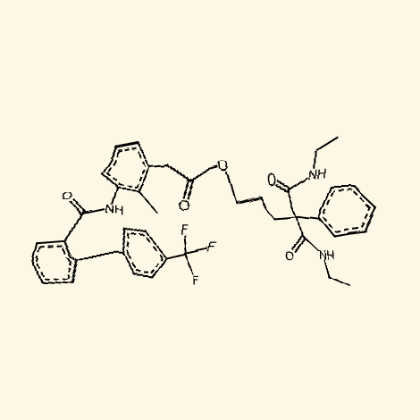 CCNC(=O)C(CCCOC(=O)Cc1cccc(NC(=O)c2ccccc2-c2ccc(C(F)(F)F)cc2)c1C)(C(=O)NCC)c1ccccc1